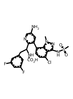 Cn1nc(NS(C)(=O)=O)c2c(Cl)ccc(-c3cc(N)cnc3C(Cc3cc(F)cc(F)c3)NC(=O)O)c21